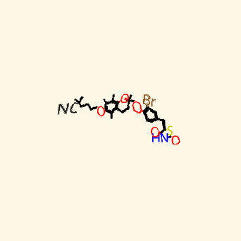 Cc1c(C)c2c(c(C)c1OCCCCC(C)(C)C#N)CCC(C)(COc1ccc(C=C3SC(=O)NC3=O)cc1Br)O2